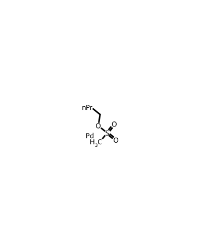 CCCCOS(C)(=O)=O.[Pd]